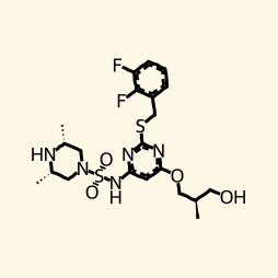 C[C@H](CO)COc1cc(NS(=O)(=O)N2C[C@@H](C)N[C@@H](C)C2)nc(SCc2cccc(F)c2F)n1